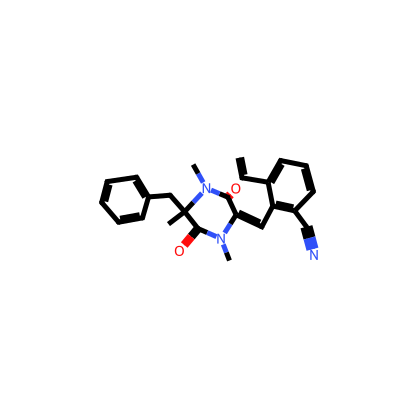 C=Cc1cccc(C#N)c1C=C1C(=O)N(C)C(C)(Cc2ccccc2)C(=O)N1C